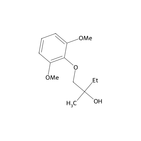 CCC(C)(O)COc1c(OC)cccc1OC